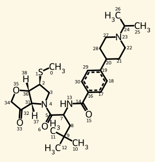 CS[C@H]1CN(C(=O)C(CC(C)(C)C)NC(=O)c2ccc(C3CCN(C(C)C)CC3)cc2)[C@@H]2C(=O)CO[C@H]12